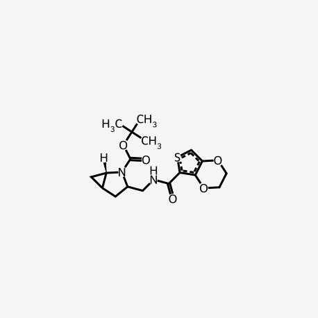 CC(C)(C)OC(=O)N1C(CNC(=O)c2scc3c2OCCO3)CC2C[C@@H]21